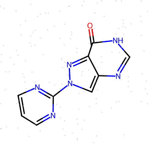 O=c1[nH]cnc2cn(-c3ncccn3)nc12